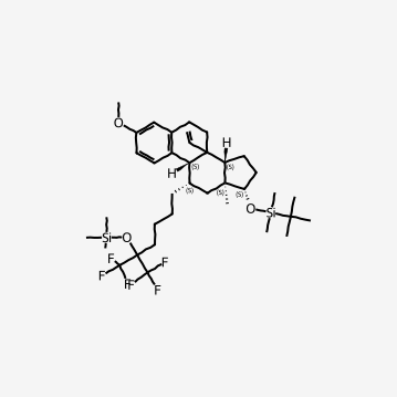 C=CC12CCc3cc(OC)ccc3[C@H]1[C@@H](CCCCC(O[Si](C)(C)C)(C(F)(F)F)C(F)(F)F)C[C@]1(C)[C@@H](O[Si](C)(C)C(C)(C)C)CC[C@@H]21